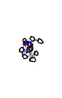 c1ccc(-c2cccc(-n3c4ccccc4c4c(-n5c6c(-n7c8ccccc8c8ccccc87)cccc6c6cccc([Si](c7ccccc7)(c7ccccc7)c7ccccc7)c65)cccc43)c2)cc1